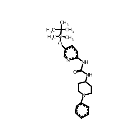 CC(C)(C)[Si](C)(C)Oc1ccc(NC(=O)NC2CCN(c3ccccc3)CC2)nc1